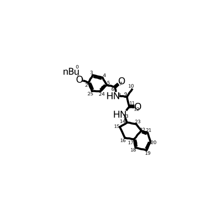 CCCCOc1ccc(C(=O)NC(C)C(=O)NC2CCc3ccccc3C2)cc1